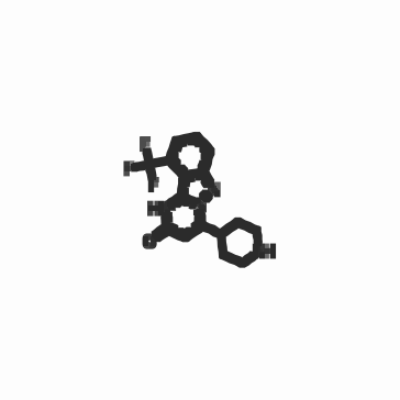 O=c1cc(C2CCNCC2)n2nc3cccc(C(F)(F)F)c3c2[nH]1